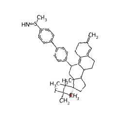 C=C1C=C2CCC3C(=C2CC1)C(c1ccc(-c2ccc(S(C)=N)cc2)cc1)CC1(C)C3CC[C@@]1(C)C(C)(F)C(C)(F)F